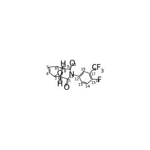 O=C1[C@@H]2C3C=CC(O3)[C@@H]2C(=O)N1c1ccc(F)c(C(F)(F)F)c1